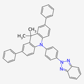 CC1(C)c2cc(-c3ccccc3)ccc2N(c2ccc(-n3nc4ccccc4n3)cc2)c2ccc(-c3ccccc3)cc21